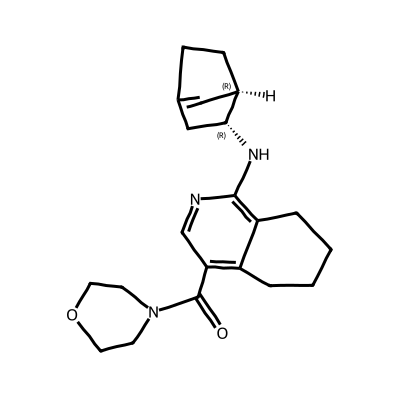 O=C(c1cnc(N[C@@H]2CC3=C[C@H]2CC3)c2c1CCCC2)N1CCOCC1